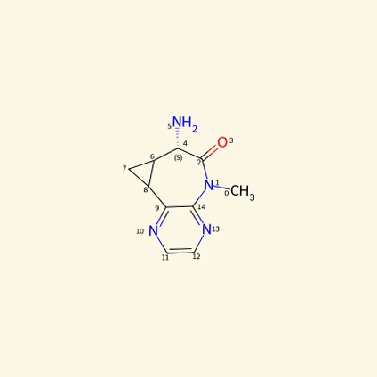 CN1C(=O)[C@@H](N)C2CC2c2nccnc21